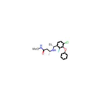 CC[C@@H](N[C@H](C)CC(=O)NOC)c1ccc(Cl)c(Oc2ccccc2)c1F